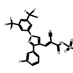 CS(=O)(=O)NC(=O)/C(C#N)=C/c1cn(-c2cc(C(F)(F)F)cc(C(F)(F)F)c2)nc1-c1cccc(Cl)c1